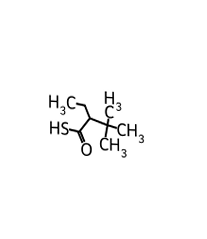 CCC(C(=O)S)C(C)(C)C